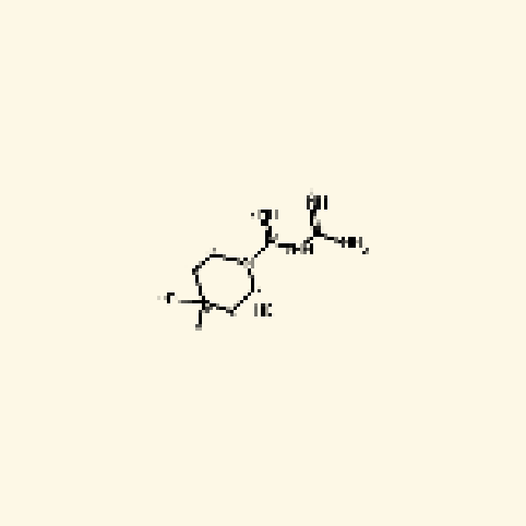 Cl.N=C(N)NC(=N)N1CCC(F)(F)CC1